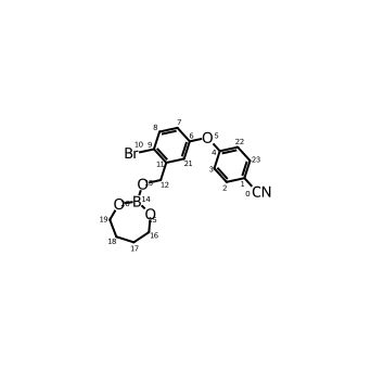 N#Cc1ccc(Oc2ccc(Br)c(COB3OCCCCO3)c2)cc1